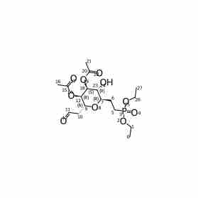 CCOP(=O)(CC[C@H]1O[C@H](CC=O)[C@@H](OC(C)=O)[C@@H](OC(C)=O)[C@@H]1O)OCC